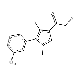 Cc1cc(C(=O)C[S])c(C)n1-c1cccc(C(F)(F)F)c1